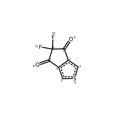 O=C1c2cscc2C(=O)C1(F)F